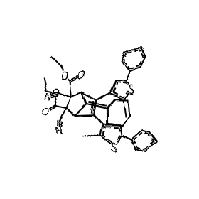 CCOC(=O)C1(C#N)C2C(c3cc(-c4ccccc4)sc3C)=C(c3cc(-c4ccccc4)sc3C)C(C2=C2CCCCC2)C1(C#N)C(=O)OCC